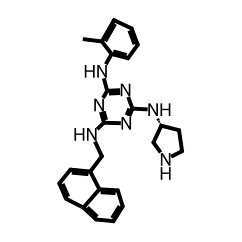 Cc1ccccc1Nc1nc(NCc2cccc3ccccc23)nc(N[C@@H]2CCNC2)n1